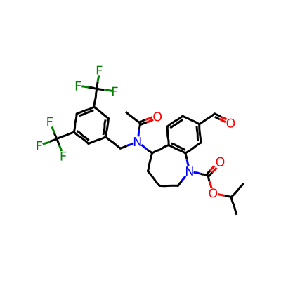 CC(=O)N(Cc1cc(C(F)(F)F)cc(C(F)(F)F)c1)C1CCCN(C(=O)OC(C)C)c2cc(C=O)ccc21